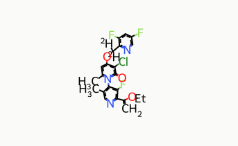 [2H]C([2H])(Oc1cc(C)n(-c2c(C)cnc(C(=C)OCC)c2F)c(=O)c1Cl)c1ncc(F)cc1F